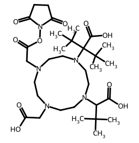 CC(C)(C)C(C(=O)O)N1CCN(CC(=O)O)CCN(CC(=O)ON2C(=O)CCC2=O)CCN(C(C(=O)O)(C(C)(C)C)C(C)(C)C)CC1